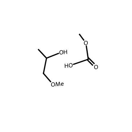 COC(=O)O.COCC(C)O